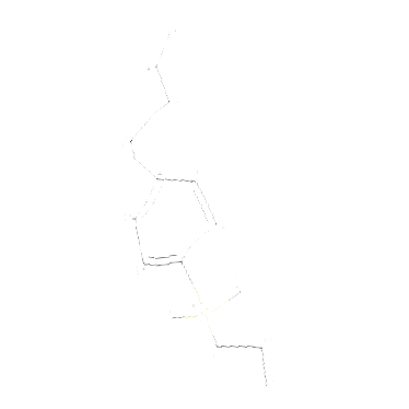 CCCCc1ccc(S(C)(C)CCC)cc1